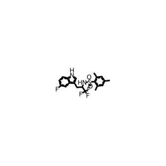 Cc1cc(C)c(S(=O)(=O)NC(Cc2c[nH]c3ccc(F)cc23)C(F)(F)F)c(C)c1